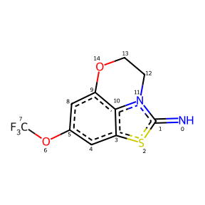 N=c1sc2cc(OC(F)(F)F)cc3c2n1CCO3